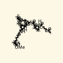 C=CC(=O)OCCCOC(=O)NC1CC(C)(C)CC(C)(CNC(=O)OCC(COCCC[Si](C)(O[Si](C)(C)C)O[Si](C)(C)C)OC(=O)NC2CC(C)(C)CC(C)(CNCOCCCCCC(C)(CC)OC(=O)OC)C2)C1